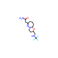 NC(=O)CC1=NN2CCC(CNC(F)(F)F)OC2CCC1